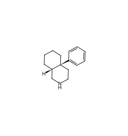 c1ccc([C@]23CCCC[C@H]2CNCC3)cc1